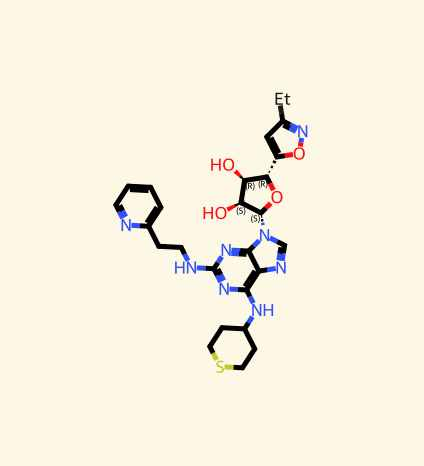 CCc1cc([C@@H]2O[C@H](n3cnc4c(NC5CCSCC5)nc(NCCc5ccccn5)nc43)[C@@H](O)[C@H]2O)on1